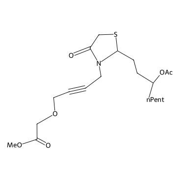 CCCCCC(CCC1SCC(=O)N1CC#CCOCC(=O)OC)OC(C)=O